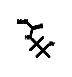 CNC(=S)NC(C)(C)C(C)(C)C(C)C